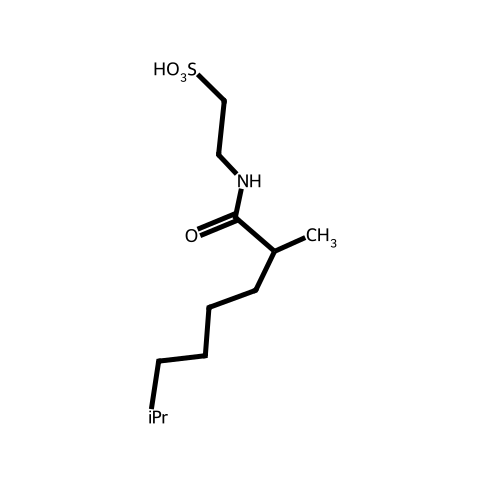 CC(C)CCCCC(C)C(=O)NCCS(=O)(=O)O